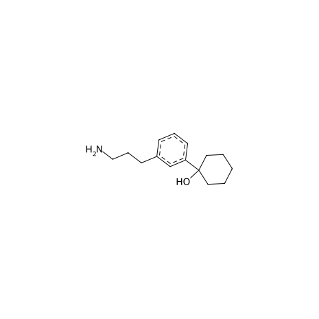 NCCCc1cccc(C2(O)CCCCC2)c1